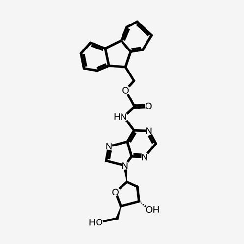 O=C(Nc1ncnc2c1ncn2[C@H]1C[C@H](O)[C@@H](CO)O1)OCC1c2ccccc2-c2ccccc21